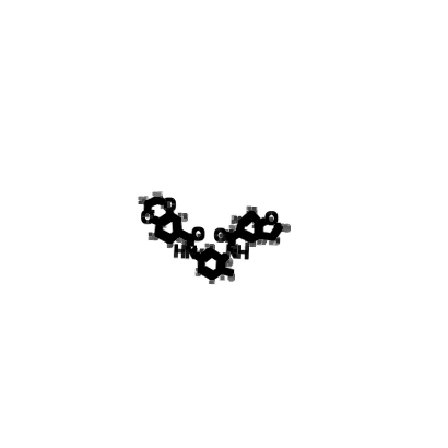 Cc1ccc(NC(=O)c2ccc3c(c2)OCCO3)cc1NC(=O)c1ccc2c(c1)CCO2